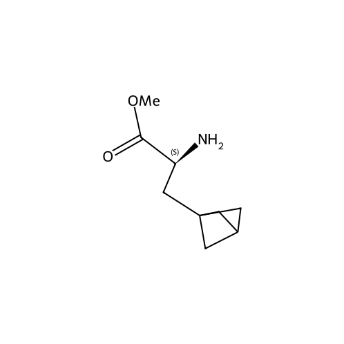 COC(=O)[C@@H](N)CC12CC(C1)C2